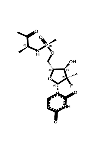 CC(=O)[C@H](C)N[P@](C)(=O)OC[C@H]1O[C@@H](n2ccc(=O)[nH]c2=O)[C@](C)(F)[C@@H]1O